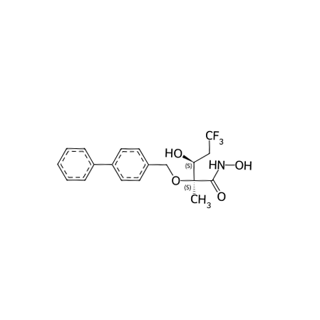 C[C@@](OCc1ccc(-c2ccccc2)cc1)(C(=O)NO)[C@@H](O)CC(F)(F)F